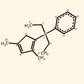 CC[Si](CC)(C1=C(C)C=C(C)C1)c1ccccc1